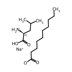 CC(C)C[C@H](N)C(=O)O.CCCCCCCCCC(=O)[O-].[Na+]